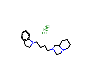 Cl.Cl.Cl.c1ccc2c(c1)CCN2CCCCN1CCN2CCCCC2C1